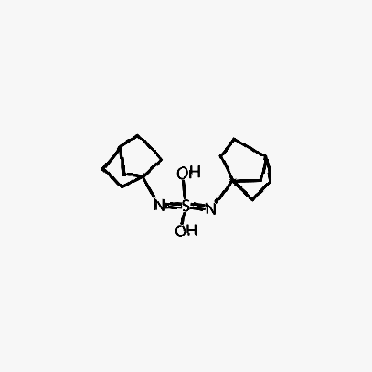 OS(O)(=NC12CCC(CC1)C2)=NC12CCC(CC1)C2